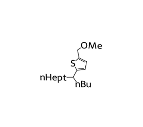 CCCCCCCC(CCCC)c1ccc(COC)s1